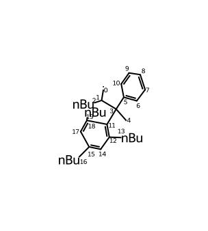 [CH2]C(CCCC)C(C)(c1ccccc1)c1c(CCCC)cc(CCCC)cc1CCCC